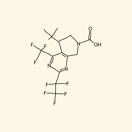 CC(C)(C)C1CN(C(=O)O)Cc2nc(C(F)(F)C(F)(F)F)nc(C(F)(F)F)c21